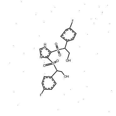 O=S(=O)(c1nc[nH]c1S(=O)(=O)C(CO)c1ccc(F)cc1)C(CO)c1ccc(F)cc1